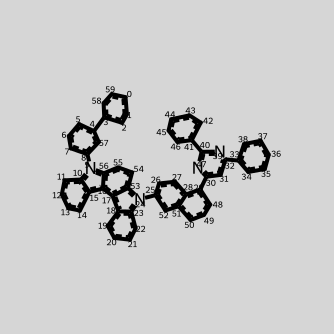 c1ccc(-c2cccc(-n3c4ccccc4c4c5c6ccccc6n(-c6ccc7c(-c8cc(-c9ccccc9)nc(-c9ccccc9)n8)cccc7c6)c5ccc43)c2)cc1